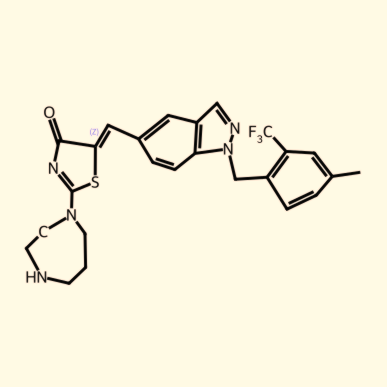 Cc1ccc(Cn2ncc3cc(/C=C4\SC(N5CCCNCC5)=NC4=O)ccc32)c(C(F)(F)F)c1